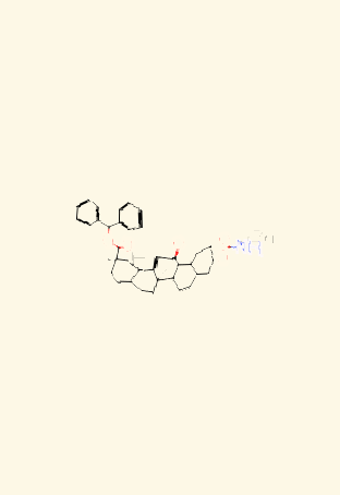 CCCCNC(=O)O[C@H]1CC[C@@]2(C)C(CC[C@]3(C)C2C(=O)C=C2[C@@H]4C[C@@](C)(C(=O)OC(c5ccccc5)c5ccccc5)CC[C@]4(C)CC[C@]23C)[C@H]1C